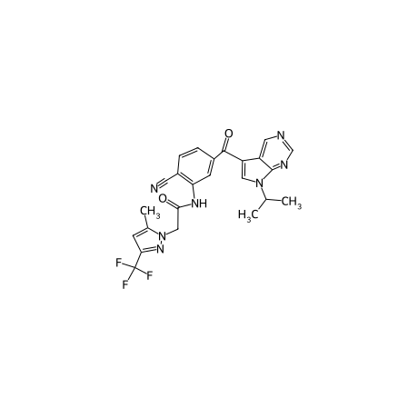 Cc1cc(C(F)(F)F)nn1CC(=O)Nc1cc(C(=O)c2cn(C(C)C)c3ncncc23)ccc1C#N